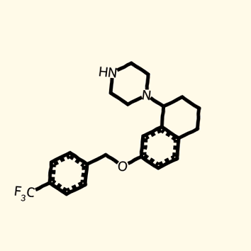 FC(F)(F)c1ccc(COc2ccc3c(c2)C(N2CCNCC2)CCC3)cc1